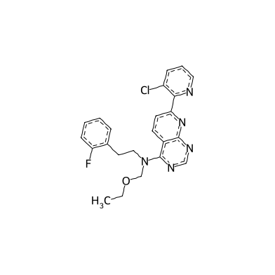 CCOCN(CCc1ccccc1F)c1ncnc2nc(-c3ncccc3Cl)ccc12